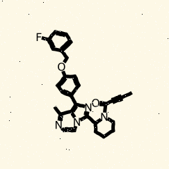 CC#CC(=O)N1CCCCC1c1nc(-c2ccc(OCc3cccc(F)c3)cc2)c2c(C)nccn12